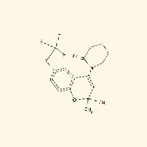 CC1(C)C=C(N2CCCCC2=O)c2cc(SC(F)(F)F)ccc2O1